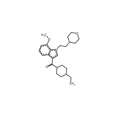 CCN1CCN(C(=O)c2cn(CCN3CCOCC3)c3c(OC)cccc23)CC1